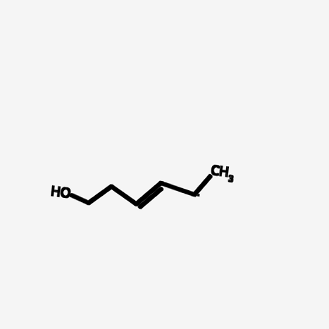 C[CH]C=CCCO